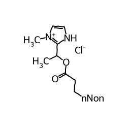 CCCCCCCCCCCC(=O)OC(C)c1[nH]cc[n+]1C.[Cl-]